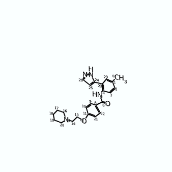 Cc1ccc(NC(=O)c2ccc(OCCN3CCCCC3)cc2)c(-c2ccn[nH]2)c1